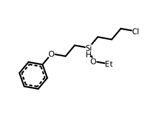 CCO[SiH](CCCCl)CCOc1ccccc1